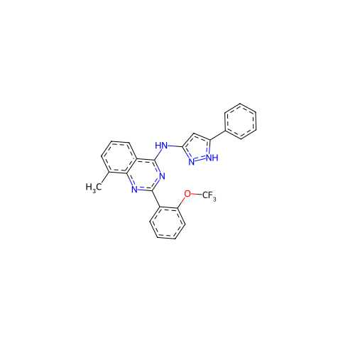 Cc1cccc2c(Nc3cc(-c4ccccc4)[nH]n3)nc(-c3ccccc3OC(F)(F)F)nc12